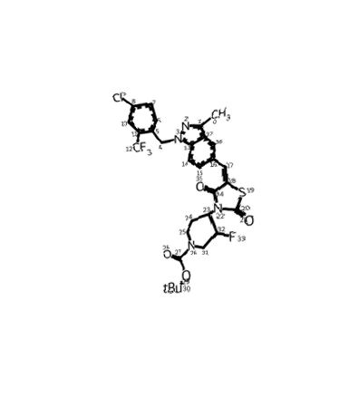 Cc1nn(Cc2ccc(Cl)cc2C(F)(F)F)c2ccc(C=C3SC(=O)N(C4CCN(C(=O)OC(C)(C)C)CC4F)C3=O)cc12